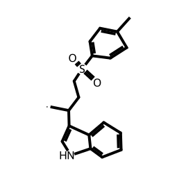 [CH2]C(CCS(=O)(=O)c1ccc(C)cc1)c1c[nH]c2ccccc12